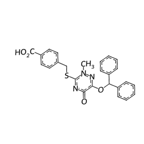 Cn1nc(OC(c2ccccc2)c2ccccc2)c(=O)nc1SCc1ccc(C(=O)O)cc1